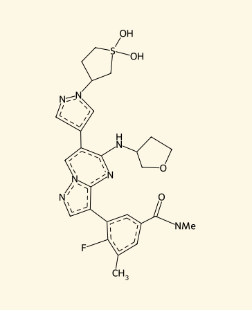 CNC(=O)c1cc(C)c(F)c(-c2cnn3cc(-c4cnn(C5CCS(O)(O)C5)c4)c(NC4CCOC4)nc23)c1